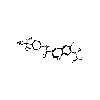 CC(C)(O)C1CCC(NC(=O)c2cnc3cc([S+]([O-])C(F)F)c(F)cc3c2)CC1